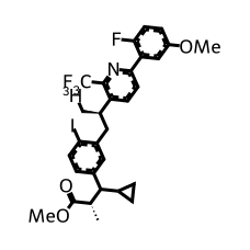 [3H]C[C@H](Cc1cc(C(C2CC2)[C@H](C)C(=O)OC)ccc1I)c1ccc(-c2cc(OC)ccc2F)nc1C(F)(F)F